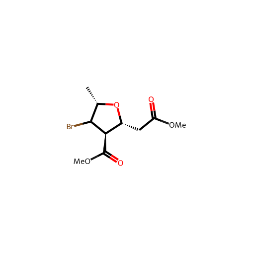 COC(=O)C[C@H]1O[C@@H](C)C(Br)[C@@H]1C(=O)OC